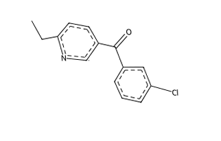 CCc1ccc(C(=O)c2cccc(Cl)c2)[c]n1